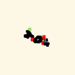 CC/C(=C/F)COc1ccc(S(=O)(=O)N(C)C(C)(C)C)cc1